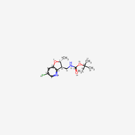 C[C@H]1Oc2cc(F)cnc2[C@@H]1CNC(=O)OC(C)(C)C